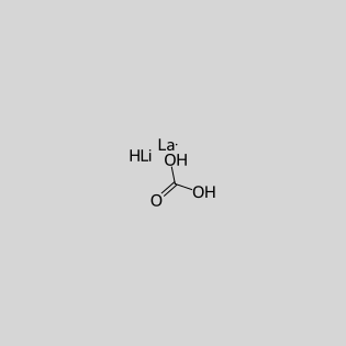 O=C(O)O.[La].[LiH]